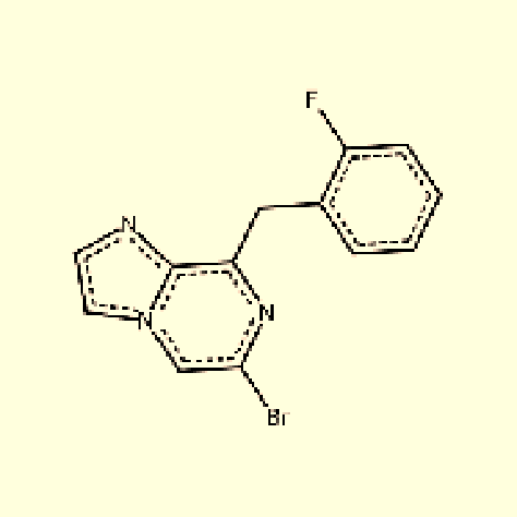 Fc1ccccc1Cc1nc(Br)cn2ccnc12